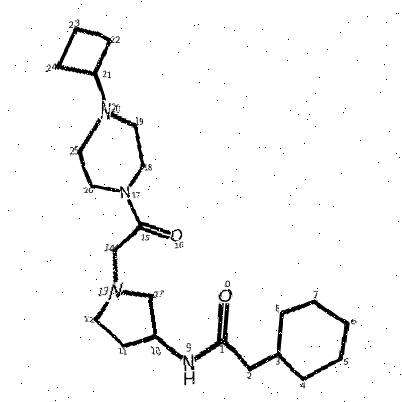 O=C(CC1CCCCC1)NC1CCN(CC(=O)N2CCN(C3CCC3)CC2)C1